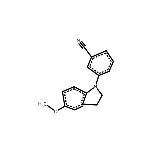 COc1ccc2c(c1)CCN2c1cccc(C#N)c1